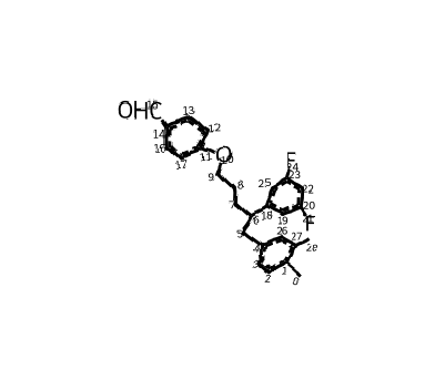 Cc1ccc(CC(CCCOc2ccc(C=O)cc2)c2cc(F)cc(F)c2)cc1C